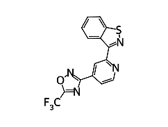 FC(F)(F)c1nc(-c2ccnc(-c3nsc4ccccc34)c2)no1